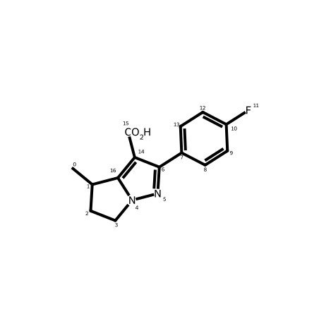 CC1CCn2nc(-c3ccc(F)cc3)c(C(=O)O)c21